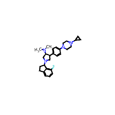 CN(C)C1CN(C2CCc3cccc(F)c32)CC1c1ccc(N2CCN(C3CC3)CC2)cc1